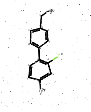 CCCc1ccc(-c2ccc(CC(C)CC)cc2)c(F)c1